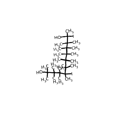 CC(C)(O)C(C)(C)C(C)(C)C(C)(I)C(C)(C)C(C)(C)C(C)(C)C(C)(C)C(C)(C)C(C)(O)I